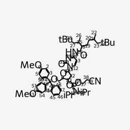 COc1ccc(C(OCC2OC(n3ccc(NC(=O)C(CCC(C)CC(C)(C)C)C(C)CC(C)(C)C)nc3=O)CC2OP(OCCC#N)N(C(C)C)C(C)C)(c2ccccc2)c2ccc(OC)cc2)cc1